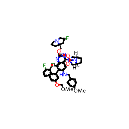 CCc1c(F)ccc2cc(OCOC)cc(-c3c(NCc4ccc(OC)cc4)cc4c(N5C[C@H]6CC[C@@H](C5)N6C(=O)OC(C)(C)C)nc(OC[C@@]56CCCN5C[C@H](F)C6)nc4c3F)c12